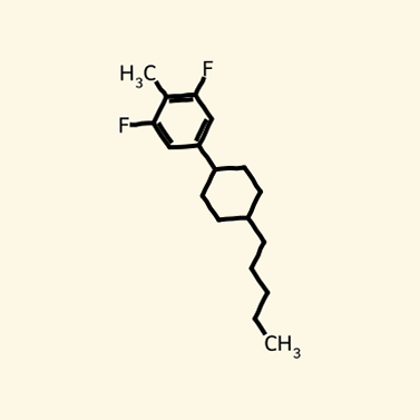 CCCCCC1CCC(c2cc(F)c(C)c(F)c2)CC1